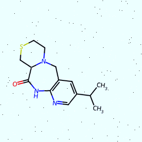 CC(C)c1cnc2c(c1)CN1CCSCC1C(=O)N2